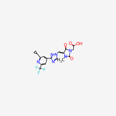 CN1C(=O)N(CC(=O)O)C(=O)/C1=C/n1cnc(-c2cc(C3CC3)nc(C(F)(F)F)c2)n1